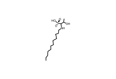 CCCCCCCCCCCCNC(C(C)O)S(=O)(=O)O